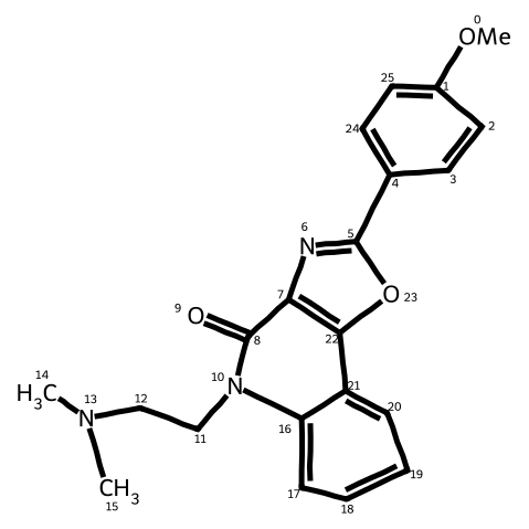 COc1ccc(-c2nc3c(=O)n(CCN(C)C)c4ccccc4c3o2)cc1